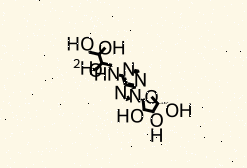 [2H]OC(CNc1ncnc2c1ncn2[C@@H]1O[C@H](CO)[C@@H](O)[C@H]1O)C(O)CO